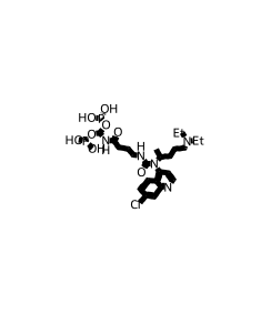 CCN(CC)CCCC(C)N(C(=O)NCCCC(=O)NC(OP(O)O)OP(O)O)c1ccnc2cc(Cl)ccc12